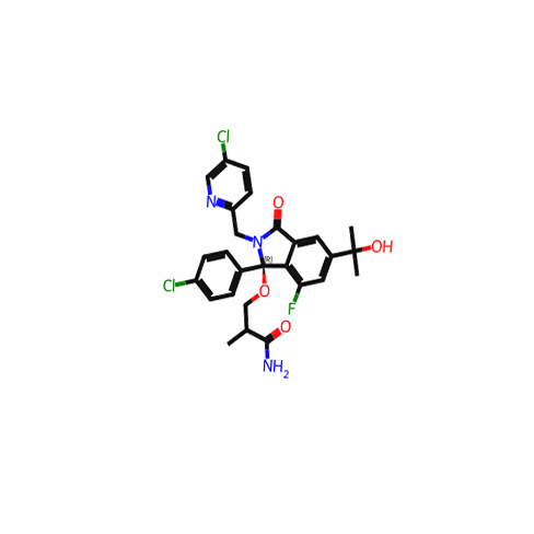 CC(CO[C@]1(c2ccc(Cl)cc2)c2c(F)cc(C(C)(C)O)cc2C(=O)N1Cc1ccc(Cl)cn1)C(N)=O